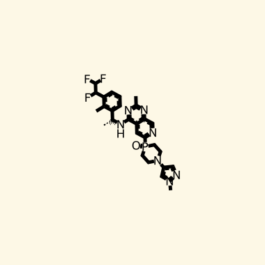 Cc1nc(N[C@H](C)c2cccc(C(F)C(F)F)c2C)c2cc(P3(=O)CCN(c4cnn(C)c4)CC3)ncc2n1